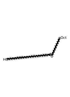 CCCCCCCCC=CCCCCCCCCCCCCCC(=O)OCCCCCCCCCCCCCCCCCCCCCCCCCCCCCCCCCCCCO